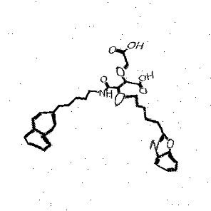 O=C(O)COC(C(=O)O)C(OCCCCCc1nc2ccccc2o1)C(=O)NCCCCCc1ccc2ccccc2c1